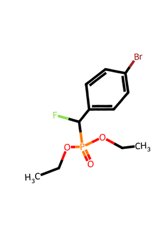 CCOP(=O)(OCC)C(F)c1ccc(Br)cc1